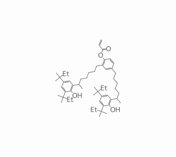 C=CC(=O)Oc1ccc(CCCCCC(C)c2cc(C(C)(C)CC)cc(C(C)(C)CC)c2O)cc1CCCCCC(C)c1cc(C(C)(C)CC)cc(C(C)(C)CC)c1O